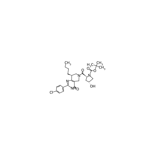 CCCC[C@H]1CN(C(=O)[C@@H]2C[C@@H](O)CN2C(=O)OC(C)(C)C)Cc2c1nc(-c1ccc(Cl)cc1)[nH]c2=O